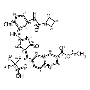 CCOC(=O)c1cnc2ccc(C=C3SC(Nc4cc(NC(=O)C5CCC5)ccc4Cl)=NC3=O)cc2c1.O=C(O)C(F)(F)F